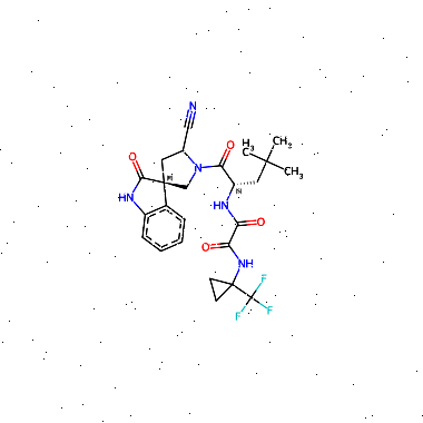 CC(C)(C)C[C@H](NC(=O)C(=O)NC1(C(F)(F)F)CC1)C(=O)N1C[C@]2(CC1C#N)C(=O)Nc1ccccc12